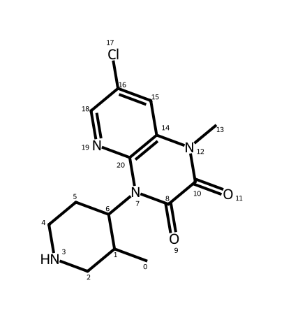 CC1CNCCC1n1c(=O)c(=O)n(C)c2cc(Cl)cnc21